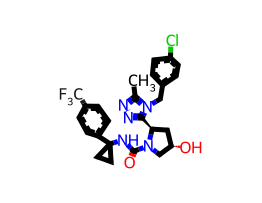 Cc1nnc([C@H]2C[C@H](O)CN2C(=O)NC2(c3ccc(C(F)(F)F)cc3)CC2)n1Cc1ccc(Cl)cc1